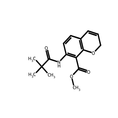 COC(=O)c1c(NC(=O)C(C)(C)C)ccc2c1OCC=C2